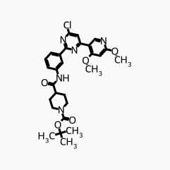 COc1cc(OC)c(-c2cc(Cl)nc(-c3cccc(NC(=O)C4CCN(C(=O)OC(C)(C)C)CC4)c3)n2)cn1